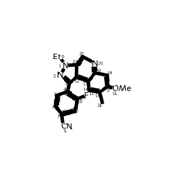 CCn1nc(-c2ccc(C#N)cc2F)c2c3cc(C)c(OC)cc3ncc21